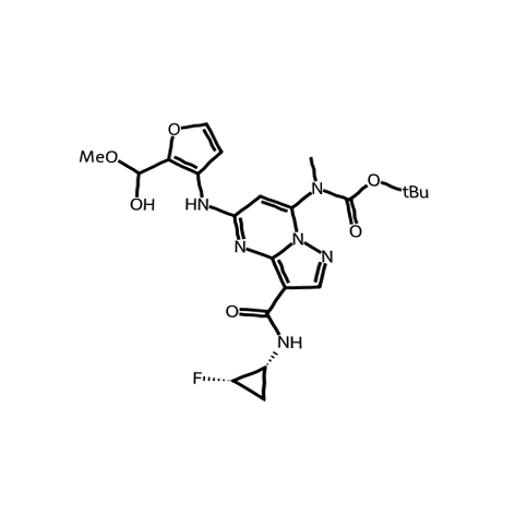 COC(O)c1occc1Nc1cc(N(C)C(=O)OC(C)(C)C)n2ncc(C(=O)N[C@@H]3C[C@@H]3F)c2n1